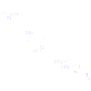 N#CSc1ccc(NC(=S)NCCCCCN(O)C(=O)CCC(=O)NCCCCCN(O)C=O)cc1